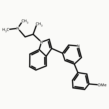 COc1cccc(-c2cncc(-c3cn(C(C)CN(C)C)c4ccccc34)c2)c1